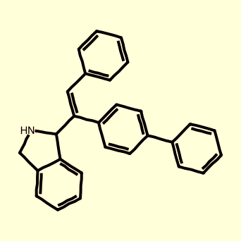 C(=C(c1ccc(-c2ccccc2)cc1)C1NCc2ccccc21)c1ccccc1